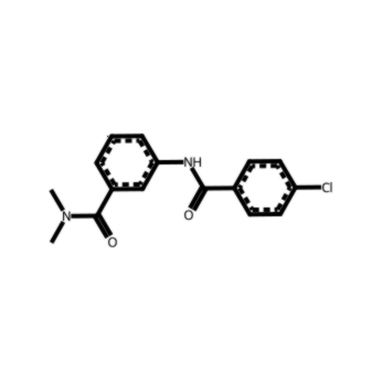 CN(C)C(=O)c1c[c]cc(NC(=O)c2ccc(Cl)cc2)c1